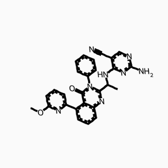 COc1cccc(-c2cccc3nc(C(C)Nc4nc(N)ncc4C#N)n(-c4ccccc4)c(=O)c23)n1